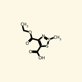 CCOC(=O)C1=C(C(=O)O)SS(C)=N1